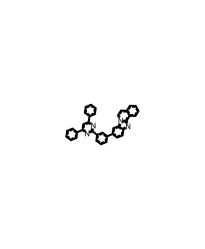 c1ccc(-c2cc(-c3ccccc3)nc(-c3cccc(-c4ccc5nc6c7ccccc7ccn6c5c4)c3)n2)cc1